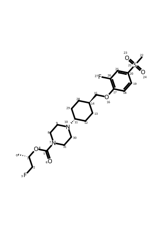 C[C@@H](CF)OC(=O)N1CCN([C@H]2CC[C@H](COc3ccc(S(C)(=O)=O)cc3F)CC2)CC1